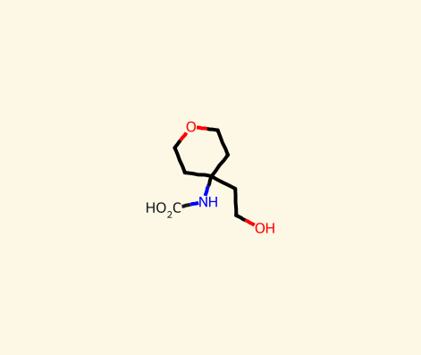 O=C(O)NC1(CCO)CCOCC1